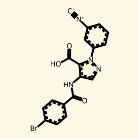 [C-]#[N+]c1cccc(-n2ncc(NC(=O)c3ccc(Br)cc3)c2C(=O)O)c1